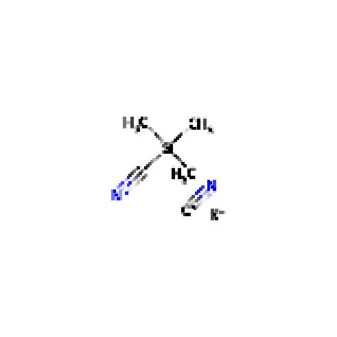 C[Si](C)(C)C#N.[C-]#N.[K+]